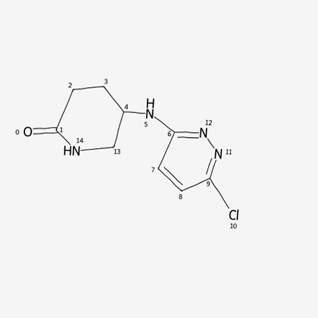 O=C1CCC(Nc2ccc(Cl)nn2)CN1